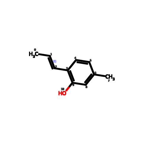 C/C=C/c1ccc(C)cc1O